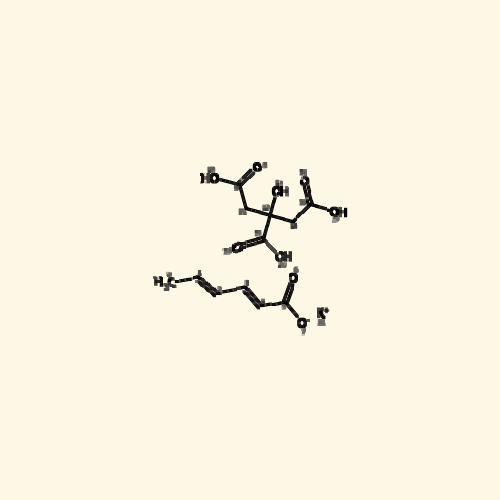 CC=CC=CC(=O)[O-].O=C(O)CC(O)(CC(=O)O)C(=O)O.[K+]